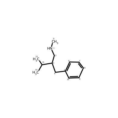 CNCC(Cc1ccccc1)C(C)C